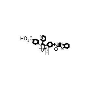 O=C1Nc2cc(NC(=O)c3nc4ccccc4[nH]3)ccc2/C1=C(/Nc1ccc(C(=O)O)cc1)c1cccnc1